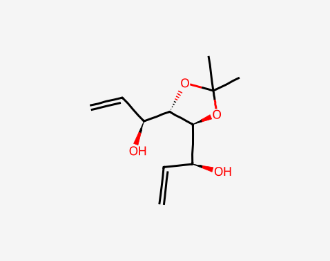 C=C[C@H](O)[C@@H]1OC(C)(C)O[C@H]1[C@@H](O)C=C